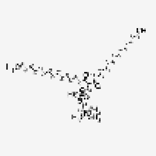 CCCCCCCCCCCCCCCC(=O)C(COP(=O)(O)OCC[N+](C)(C)C)C(=O)CCCCCCCCCCCCCCC